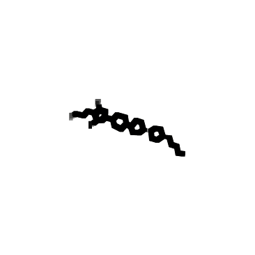 CCCCC[C@H]1CC[C@H](C2CCC(C3CCC(c4cc(F)c(CCCF)c(F)c4)CC3)CC2)CC1